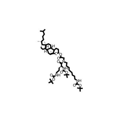 CC(C)CCC[C@@H](C)[C@H]1CC[C@H]2[C@@H]3CC=C4C[C@@H](OC(=O)CN(CCCCCCCCNC(=O)OC(C)(C)C)C(=O)[C@H](CCCNC(=O)OC(C)(C)C)NC(=O)OC(C)(C)C)CC[C@]4(C)[C@H]3CC[C@]12C